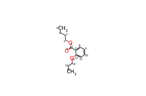 CCCCOC(=O)c1ccccc1OCCC